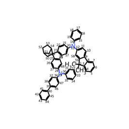 CC1(C)c2ccccc2-c2ccc(N(c3ccccc3)c3ccc(C4(c5ccc(N(c6ccccc6)c6ccc(-c7ccccc7)cc6)cc5)CC5CCC4C5)cc3)cc21